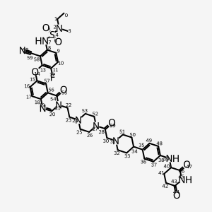 CCN(C)S(=O)(=O)Nc1ccc(F)c(Oc2ccc3ncn(CCN4CCN(C(=O)CN5CCC(c6ccc(NC7CCC(=O)NC7=O)cc6)CC5)CC4)c(=O)c3c2)c1C#N